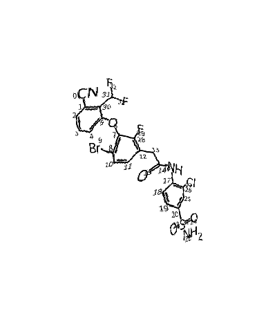 N#Cc1cccc(Oc2c(Br)ccc(CC(=O)Nc3ccc(S(N)(=O)=O)cc3Cl)c2F)c1C(F)F